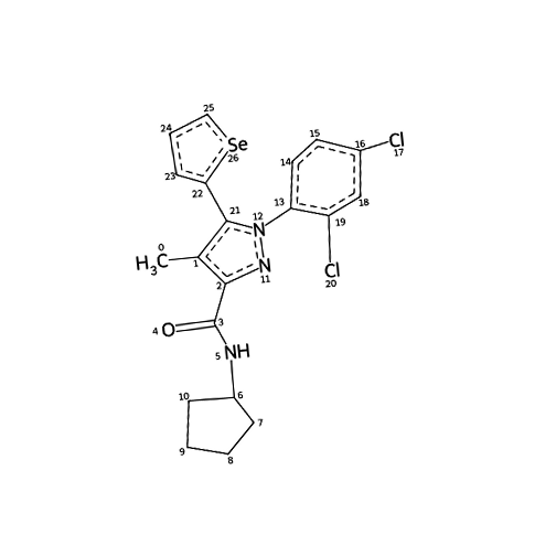 Cc1c(C(=O)NC2CCCC2)nn(-c2ccc(Cl)cc2Cl)c1-c1ccc[se]1